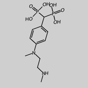 CNCCN(C)c1ccc(C(P(=O)(O)O)P(=O)(O)O)cc1